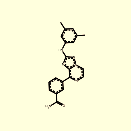 Cc1cc(C)cc(Nc2nc3c(-c4cccc(C(N)=O)c4)nccn3n2)c1